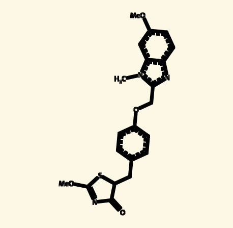 COC1=NC(=O)C(Cc2ccc(OCc3nc4ccc(OC)cc4n3C)cc2)S1